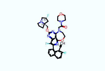 C#Cc1c(F)ccc2cccc(-c3nc4c5c(nc(OC[C@@]67CCCN6C[C@H](F)C7)nc5c3F)N(CC(=O)N3CCOCC3)CCO4)c12